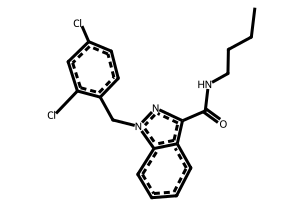 CCCCNC(=O)c1nn(Cc2ccc(Cl)cc2Cl)c2ccccc12